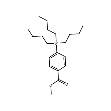 CCC[CH2][Sn]([CH2]CCC)([CH2]CCC)[c]1ccc(C(=O)OC)cc1